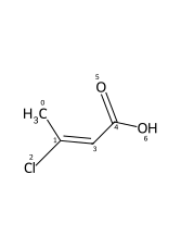 C/C(Cl)=C\C(=O)O